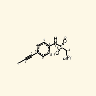 CC#Cc1ccc(NS(=O)(=O)CC(C)C)cc1